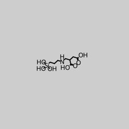 O=C(O)CC(CNCCC[Si](O)(O)O)C(=O)O